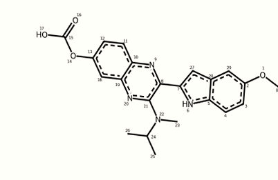 COc1ccc2[nH]c(-c3nc4ccc(OC(=O)O)cc4nc3N(C)C(C)C)cc2c1